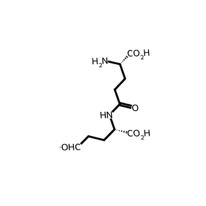 N[C@@H](CCC(=O)N[C@@H](CC[C]=O)C(=O)O)C(=O)O